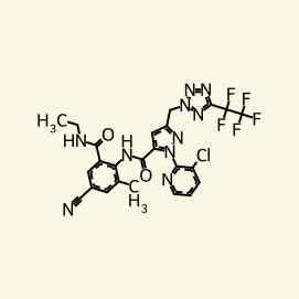 CCNC(=O)c1cc(C#N)cc(C)c1NC(=O)c1cc(Cn2nnc(C(F)(F)C(F)(F)F)n2)nn1-c1ncccc1Cl